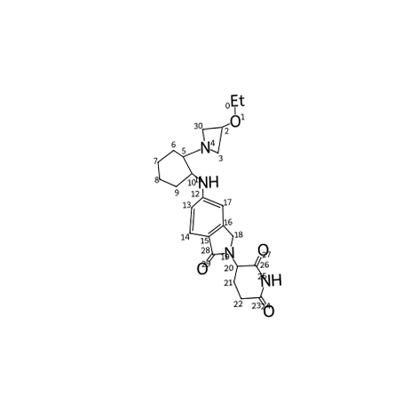 CCOC1CN(C2CCCCC2Nc2ccc3c(c2)CN(C2CCC(=O)NC2=O)C3=O)C1